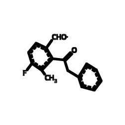 Cc1c(F)ccc([C]=O)c1C(=O)Cc1ccccc1